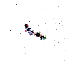 O=C1N(CC23CC(C2)C3)[C@@H]2CN3c4cc(OCc5ccc(Oc6ccnc(C(F)(F)F)c6)c(F)c5)nc(=O)n4C[C@]13C2